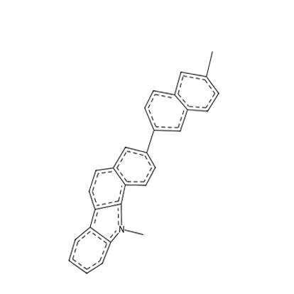 Cc1ccc2cc(-c3ccc4c(ccc5c6ccccc6n(C)c45)c3)ccc2c1